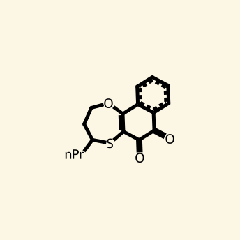 CCCC1CCOC2=C(S1)C(=O)C(=O)c1ccccc12